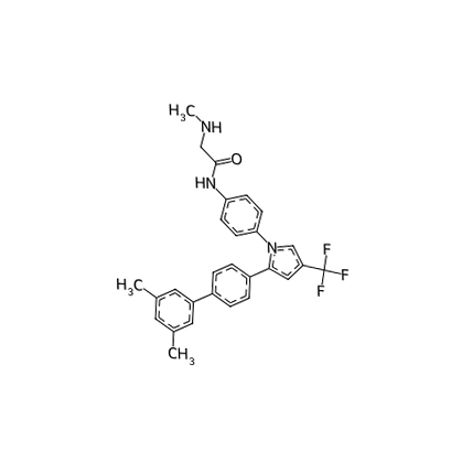 CNCC(=O)Nc1ccc(-n2cc(C(F)(F)F)cc2-c2ccc(-c3cc(C)cc(C)c3)cc2)cc1